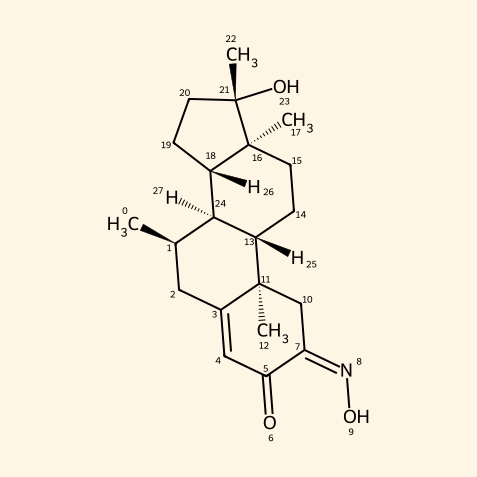 C[C@@H]1CC2=CC(=O)/C(=N\O)C[C@]2(C)[C@H]2CC[C@@]3(C)[C@@H](CC[C@]3(C)O)[C@H]12